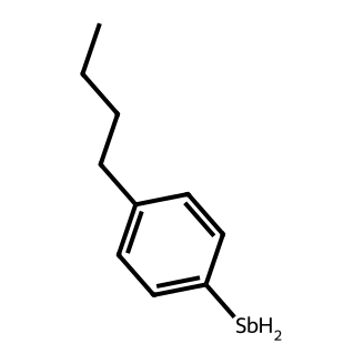 CCCCc1cc[c]([SbH2])cc1